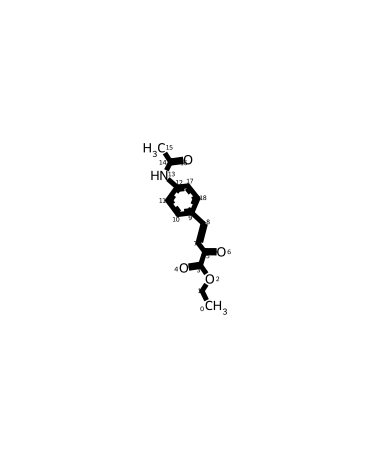 CCOC(=O)C(=O)C=Cc1ccc(NC(C)=O)cc1